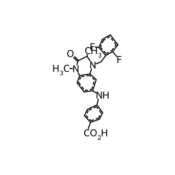 C[C@@H]1C(=O)N(C)c2ccc(Nc3ccc(C(=O)O)cc3)cc2N1Cc1c(F)cccc1F